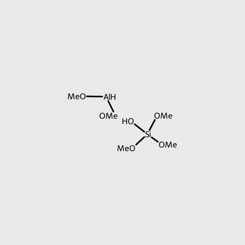 CO[Si](O)(OC)OC.C[O][AlH][O]C